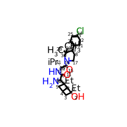 CCC1(O)CC2CC(CC)([C@H](N)C(=O)N[C@@H](C(=O)N3CCC(c4ccc(Cl)cc4)C(C)(C)C3)C(C)C)C21